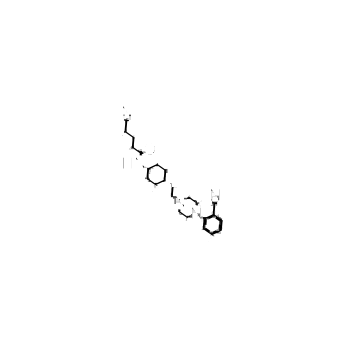 N#CCCCC(=O)N[C@H]1CC[C@H](CCN2CCN(c3ccccc3C#N)CC2)CC1